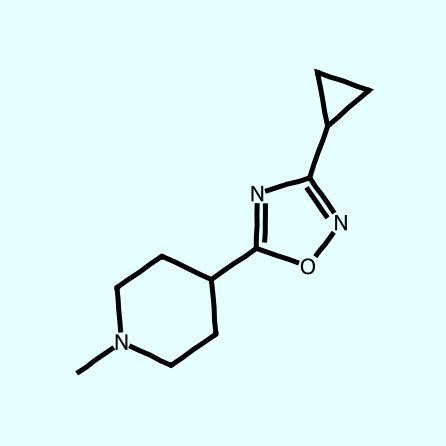 CN1CCC(c2nc(C3CC3)no2)CC1